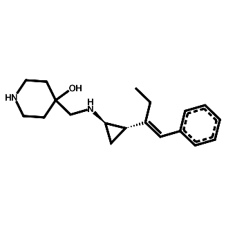 CC/C(=C\c1ccccc1)[C@@H]1C[C@H]1NCC1(O)CCNCC1